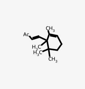 CC(=O)C=CC1(C)C(C)=CCCC1(C)C